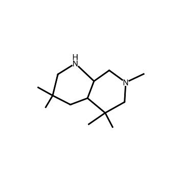 CN1CC2NCC(C)(C)CC2C(C)(C)C1